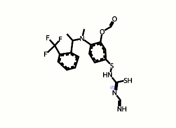 CC(c1ccccc1C(F)(F)F)N(C)c1ccc(SN/C(S)=N/C=N)cc1OC=O